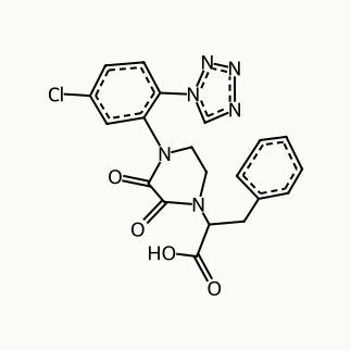 O=C(O)C(Cc1ccccc1)N1CCN(c2cc(Cl)ccc2-n2cnnn2)C(=O)C1=O